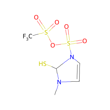 CN1C=CN(S(=O)(=O)OS(=O)(=O)C(F)(F)F)C1S